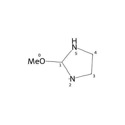 COC1[N]CCN1